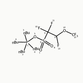 CCCCP(CCCC)(CCCC)(CCCC)OS(=O)(=O)C(F)(F)C(F)OC(F)(F)F